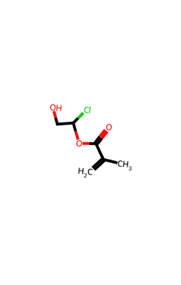 C=C(C)C(=O)OC(Cl)CO